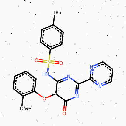 COc1ccccc1OC1C(=O)N=C(c2ncccn2)N=C1NS(=O)(=O)c1ccc(C(C)(C)C)cc1